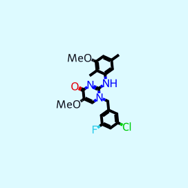 COc1cc(C)cc(Nc2nc(=O)c(OC)cn2Cc2cc(F)cc(Cl)c2)c1C